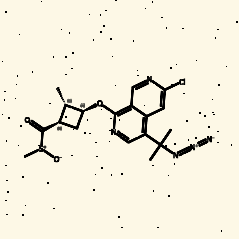 C[C@@H]1[C@@H](Oc2ncc(C(C)(C)N=[N+]=[N-])c3cc(Cl)ncc23)C[C@H]1C(=O)[S+](C)[O-]